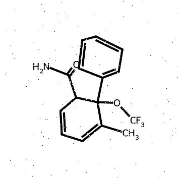 CC1=CC=CC(C(N)=O)C1(OC(F)(F)F)c1ccccc1